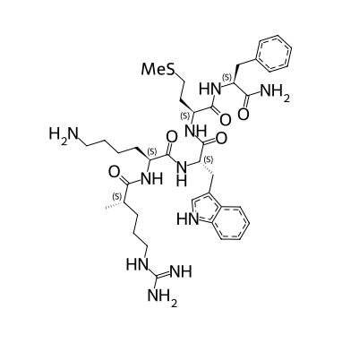 CSCC[C@H](NC(=O)[C@H](Cc1c[nH]c2ccccc12)NC(=O)[C@H](CCCCN)NC(=O)[C@@H](C)CCCNC(=N)N)C(=O)N[C@@H](Cc1ccccc1)C(N)=O